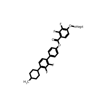 CCCCCCCOc1ccc(C(=O)Oc2ccc(-c3ccc(C4CCC(C)CC4)c(F)c3F)cc2)c(F)c1F